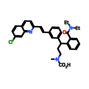 CCN(CC)C(=O)c1ccccc1C(CCN(C)C(=O)O)c1cccc(C=Cc2ccc3ccc(Cl)cc3n2)c1